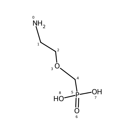 NCCOCP(=O)(O)O